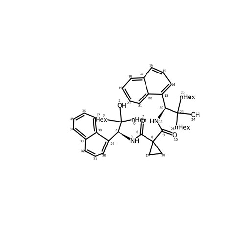 CCCCCCC(O)(CCCCCC)[C@@H](NC(=O)C1(C(=O)N[C@@H](c2cccc3ccccc23)C(O)(CCCCCC)CCCCCC)CC1)c1cccc2ccccc12